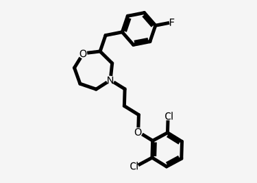 Fc1ccc(CC2CN(CCCOc3c(Cl)cccc3Cl)CCCO2)cc1